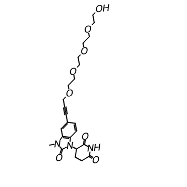 Cn1c(=O)n(C2CCC(=O)NC2=O)c2ccc(C#CCOCCOCCOCCOCCO)cc21